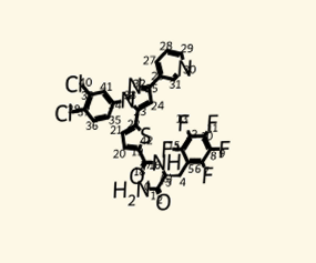 NC(=O)[C@H](Cc1c(F)c(F)c(F)c(F)c1F)NC(=O)c1ccc(-c2cc(-c3cccnc3)nn2-c2ccc(Cl)c(Cl)c2)s1